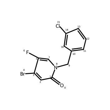 O=c1cc(Br)c(F)cn1Cc1cccc(Cl)c1